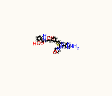 Nc1ncc(-c2nc(N3CCOCC3)c3sc(-c4cccc(CC(O)CNC(=O)c5ccccc5O)c4)cc3n2)cn1